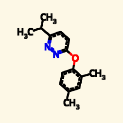 Cc1ccc(Oc2ccc(C(C)C)nn2)c(C)c1